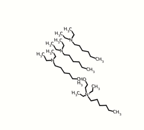 CCCCCCN(CC)CC.CCCCCCN(CC)CC.CCCCCCN(CC)CC.CCCCCC[N+](CC)(CC)CCO